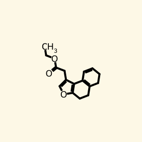 CCOC(=O)Cc1coc2c1C1=C(CCC=C1)CC2